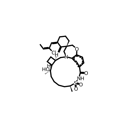 C=C1/C(=C\C(Cl)=C/C)CCC[C@]12COc1ccc3cc1N(C[C@@H]1CC[C@H]1[C@](C)(O)CCCC[C@H](C)S(=O)(=O)NC3=O)C2